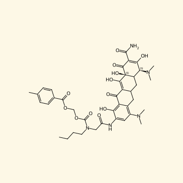 CCCCN(CC(=O)Nc1cc(N(C)C)c2c(c1O)C(=O)C1=C(O)[C@]3(O)C(=O)C(C(N)=O)=C(O)[C@@H](N(C)C)C3CC1C2)C(=O)OCOC(=O)c1ccc(C)cc1